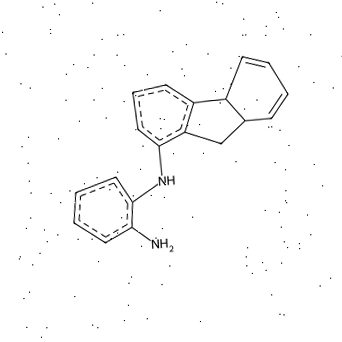 Nc1ccccc1Nc1cccc2c1CC1C=CC=CC21